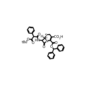 CC(C)(C)OC(=O)C(C(=O)NC1C(=O)N2C(C(=O)OC(c3ccccc3)c3ccccc3)=C(C(=O)O)CS[C@@H]12)c1ccccc1